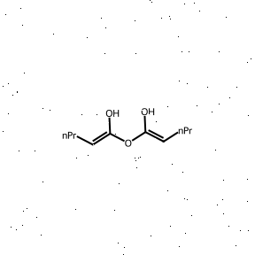 CCC/C=C(\O)O/C(O)=C/CCC